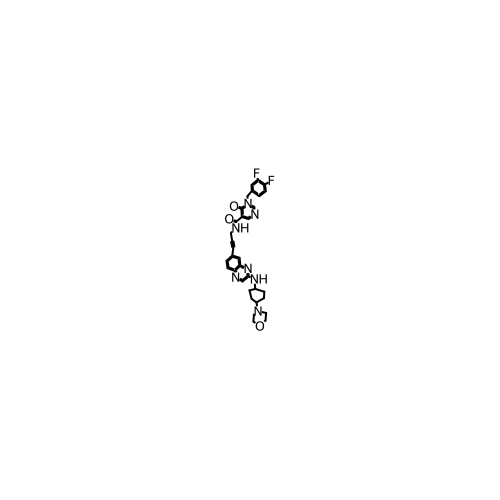 O=C(NCC#Cc1ccc2ncc(NC3CCC(N4CCOCC4)CC3)nc2c1)c1cncn(Cc2ccc(F)c(F)c2)c1=O